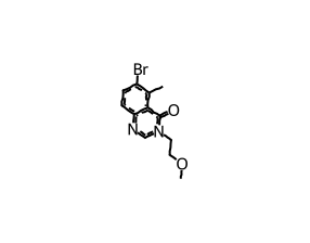 COCCn1cnc2ccc(Br)c(C)c2c1=O